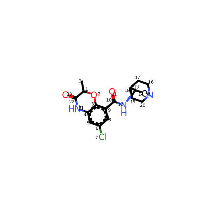 CC1Oc2c(cc(Cl)cc2C(=O)NC2CN3CCC2CC3)NC1=O